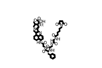 CC[C@@]1(O)C(=O)OCC2=C1C=C1c3nc4ccc(NC(=O)CNC(=O)[C@H](Cc5ccccc5)NC(=O)CNC(=O)CNC(=O)CCCCCN5C(=O)C=CC5=O)c5c4c(c3CN1C2)CCC5